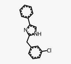 Clc1cccc(Cc2nc(-c3ccccc3)c[nH]2)c1